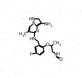 CC1=CN2NCC(N)=C2N=C1NCc1cc(F)ccc1OC(C)CNC=O